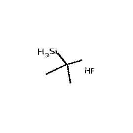 CC(C)(C)[SiH3].F